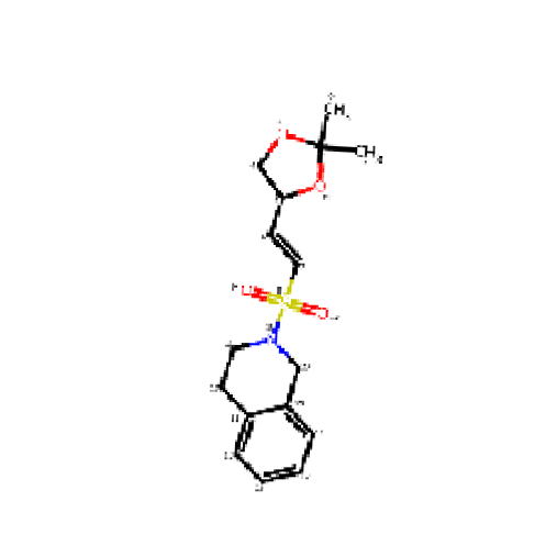 CC1(C)OC[C@H](C=CS(=O)(=O)N2CCc3ccccc3C2)O1